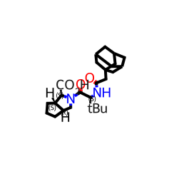 CC(C)(C)[C@H](NC(=O)CC12CC3CC(CC(C3)C1)C2)C(=O)N1C[C@@H]2CCC[C@@H]2[C@H]1C(=O)O